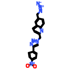 [N-]=[N+]=NCc1ccc2nc(Cn3cc(-c4ccc([N+](=O)[O-])cc4)nn3)ccc2c1